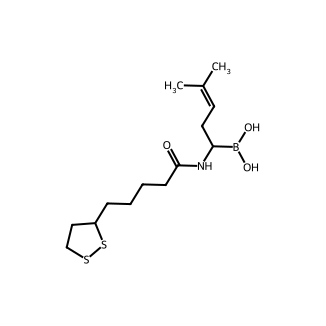 CC(C)=CCC(NC(=O)CCCCC1CCSS1)B(O)O